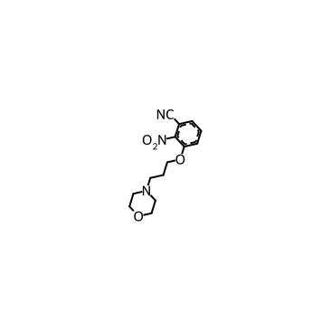 N#Cc1cccc(OCCCN2CCOCC2)c1[N+](=O)[O-]